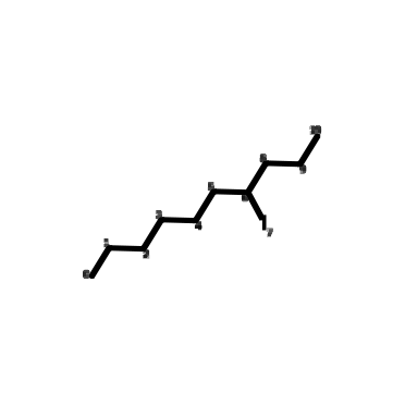 CCCCCCC(I)CCC